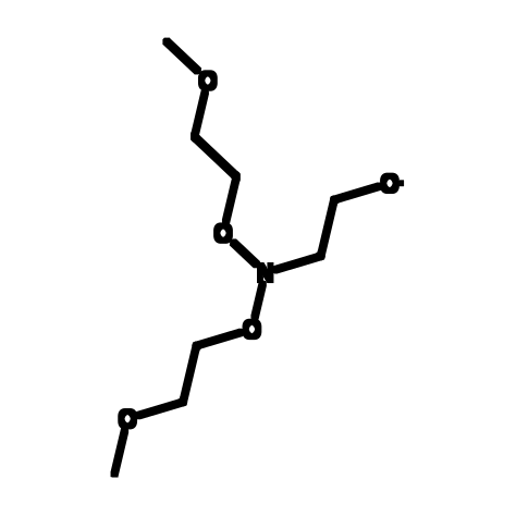 COCCON(CC[O])OCCOC